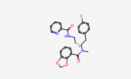 CN(C(=O)c1cccc2c1OCO2)[C@H](CCNC(=O)c1ccccn1)Cc1ccc(F)cc1